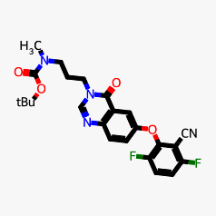 CN(CCCn1cnc2ccc(Oc3c(F)ccc(F)c3C#N)cc2c1=O)C(=O)OC(C)(C)C